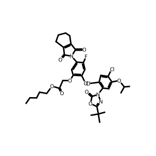 CC(C)Oc1cc(-n2nc(C(C)(C)C)oc2=O)c(Cl)cc1Cl.CCCCCOC(=O)COc1cc(N2C(=O)C3=C(CCCC3)C2=O)c(F)cc1Cl